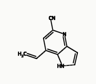 C=Cc1cc(C#N)nc2cc[nH]c12